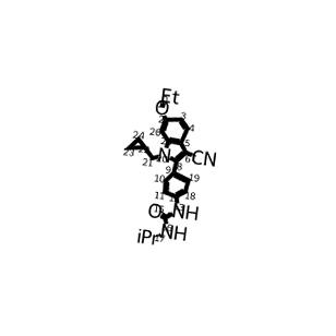 CCOc1ccc2c(C#N)c(-c3ccc(NC(=O)NC(C)C)cc3)n(CC3CC3)c2c1